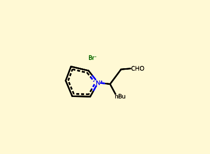 CCCCC(CC=O)[n+]1ccccc1.[Br-]